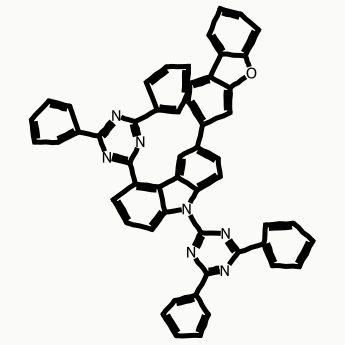 c1ccc(-c2nc(-c3ccccc3)nc(-c3cccc4c3c3cc(-c5ccc6c(c5)oc5ccccc56)ccc3n4-c3nc(-c4ccccc4)nc(-c4ccccc4)n3)n2)cc1